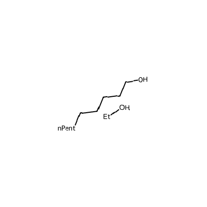 CCCCCCCCCCO.CCO